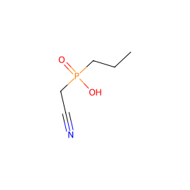 CCCP(=O)(O)CC#N